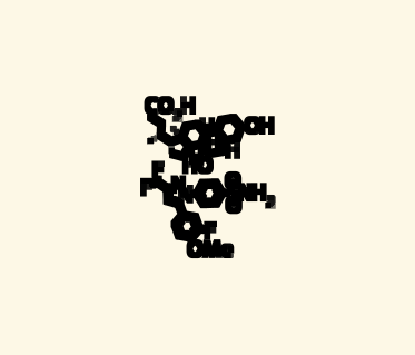 COc1ccc(-c2cc(C(F)F)nn2-c2ccc(S(N)(=O)=O)cc2)cc1F.C[C@H](CCC(=O)O)[C@H]1CC[C@H]2[C@@H]3[C@@H](O)C[C@@H]4C[C@H](O)CC[C@]4(C)[C@H]3CC[C@]12C